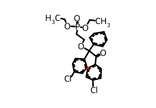 CCOP(=O)(CCOC(C(=O)c1ccc(Cl)cc1)(c1ccccc1)c1ccc(Cl)cc1)OCC